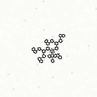 CC1(C)c2ccccc2-c2cc3c(cc21)N(c1nc(-c2cccc(-c4cc(-c5cccc(-c6cccc7ccccc67)c5)cc(-c5cccc(-c6cccc7ccccc67)c5)c4)c2)nc(-c2cccc(-c4cc(-c5cccc(-c6cccc7ccccc67)c5)cc(-c5cccc(-c6cccc7ccccc67)c5)c4)c2)n1)c1ccccc1N3c1ccccc1